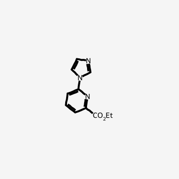 CCOC(=O)c1cccc(-n2ccnc2)n1